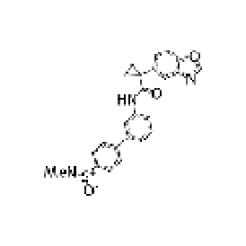 CN[S+]([O-])c1ccc(-c2cccc(NC(=O)C3(c4ccc5ocnc5c4)CC3)c2)cc1